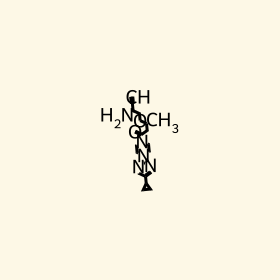 C#C[C@H](N)COC(C)CC(=O)N1CCN(c2ncc(C3CC3)cn2)CC1